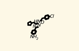 Nc1ccc(-c2cnc(NC(=O)Cc3ccc(Cl)cc3)c(CC3CCCC3)n2)cc1